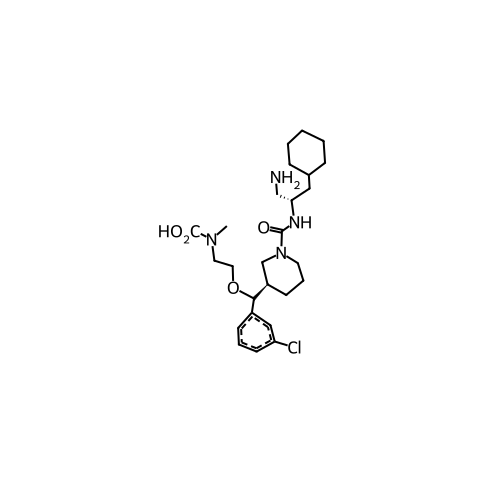 CN(CCOC(c1cccc(Cl)c1)[C@@H]1CCCN(C(=O)N[C@H](CN)CC2CCCCC2)C1)C(=O)O